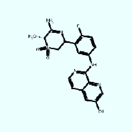 C[C@@H]1C(N)=NC(c2cc(Nc3nccc4cc(C#N)cnc34)ccc2F)CS1(=O)=O